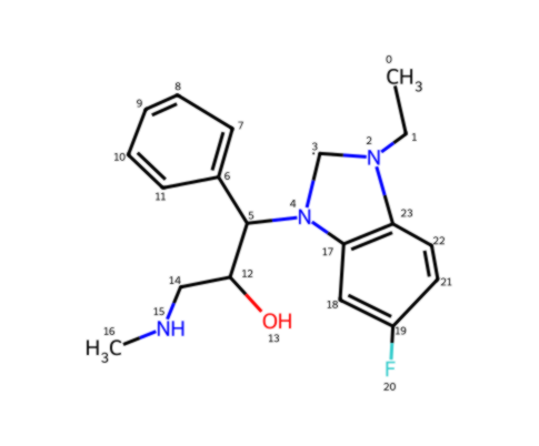 CCN1[CH]N(C(c2ccccc2)C(O)CNC)c2cc(F)ccc21